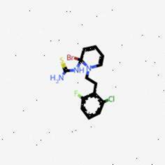 NC(=S)NC1(Br)C=CC=CN1CCc1c(F)cccc1Cl